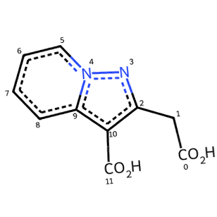 O=C(O)Cc1nn2ccccc2c1C(=O)O